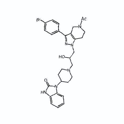 CC(=O)N1CCc2c(c(-c3ccc(Br)cc3)nn2CC(O)CN2CCC(n3c(=O)[nH]c4ccccc43)CC2)C1